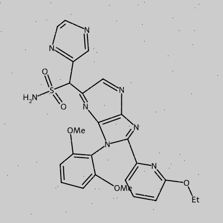 CCOc1cccc(-c2nc3ncc(C(c4cnccn4)S(N)(=O)=O)nc3n2-c2c(OC)cccc2OC)n1